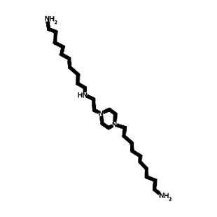 NCCCCCCCCCCNCCN1CCN(CCCCCCCCCCN)CC1